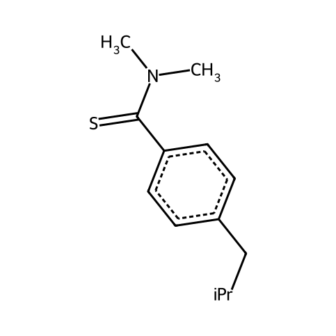 CC(C)Cc1ccc(C(=S)N(C)C)cc1